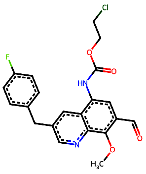 COc1c(C=O)cc(NC(=O)OCCCl)c2cc(Cc3ccc(F)cc3)cnc12